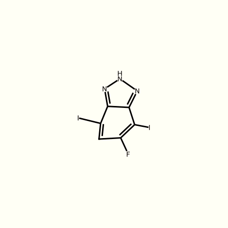 Fc1cc(I)c2n[nH]nc2c1I